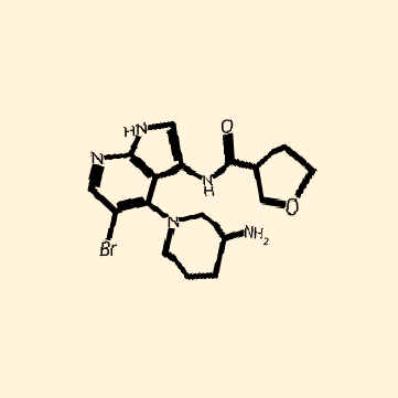 NC1CCCN(c2c(Br)cnc3[nH]cc(NC(=O)C4CCOC4)c23)C1